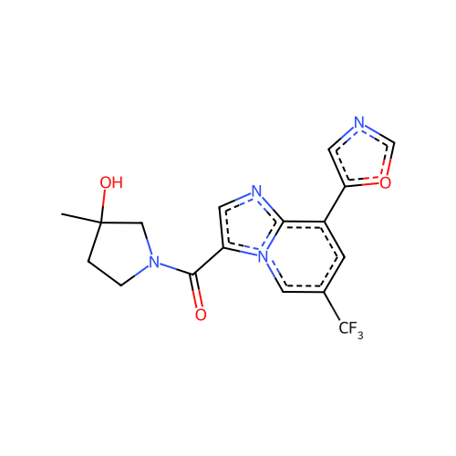 CC1(O)CCN(C(=O)c2cnc3c(-c4cnco4)cc(C(F)(F)F)cn23)C1